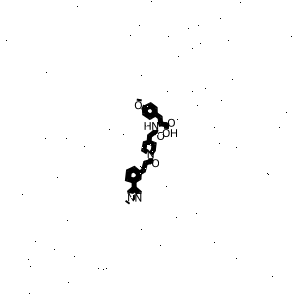 COc1ccc(CC(NC(=O)CC2CCN(C(=O)CCc3cccc(-c4cnn(C)c4)c3)CC2)C(=O)O)cc1